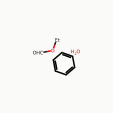 CCOC=O.O.c1ccccc1